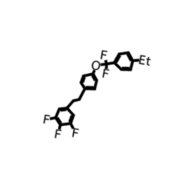 CCc1ccc(C(F)(F)Oc2ccc(CCc3cc(F)c(F)c(F)c3)cc2)cc1